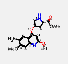 Bc1cc2c(O[C@H]3CN[C@H](C(=O)OC)C3)cc(OCC)nc2cc1OC